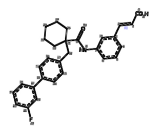 O=C(O)/C=C/c1cccc(NC(=O)C2(Cc3ccc(-c4cccc(F)c4)cc3)CCCCC2)c1